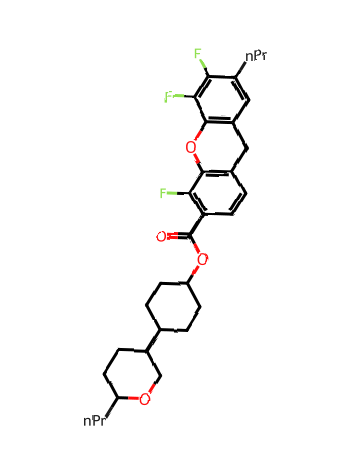 CCCc1cc2c(c(F)c1F)Oc1c(ccc(C(=O)OC3CCC(C4CCC(CCC)OC4)CC3)c1F)C2